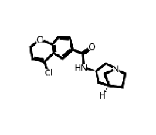 O=C(N[C@@H]1C[C@@H]2CCN(C2)C1)c1ccc2c(c1)C(Cl)=CCO2